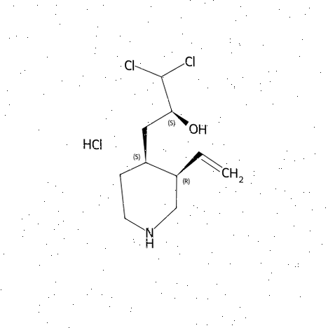 C=C[C@H]1CNCC[C@H]1C[C@H](O)C(Cl)Cl.Cl